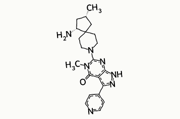 C[C@H]1C[C@@H](N)C2(CCN(c3nc4[nH]nc(-c5ccncc5)c4c(=O)n3C)CC2)C1